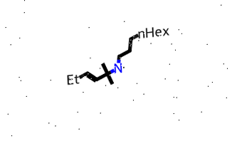 CCC=CC(C)(C)[N]CCCCCCCCC